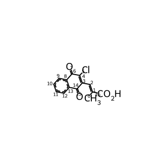 CC(=CC1=C(Cl)C(=O)c2ccccc2C1=O)C(=O)O